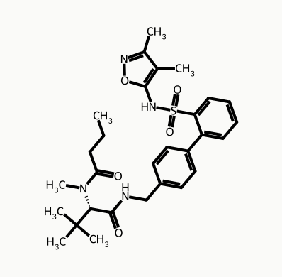 CCCC(=O)N(C)[C@H](C(=O)NCc1ccc(-c2ccccc2S(=O)(=O)Nc2onc(C)c2C)cc1)C(C)(C)C